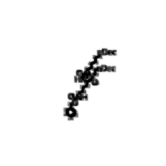 CCCCCCCCCCCCCCCCOC(=O)NC(CCCCNC(=O)OCc1ccccc1)C(=O)NCCCCCCCCCCCC